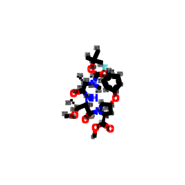 COC(=O)[C@@H]1C[C@H](Oc2ccc(F)cc2)CN1C(=O)[C@@H](NC(=O)[C@H](C)N(C)C(=O)OC(C)(C)C)[C@@H](C)OC